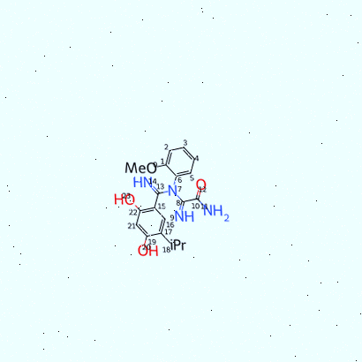 COc1ccccc1N(C(=N)C(N)=O)C(=N)c1cc(C(C)C)c(O)cc1O